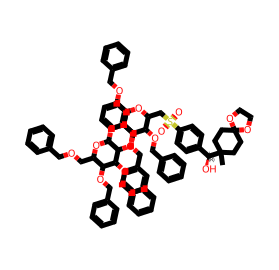 CC1([C@@H](O)c2ccc(S(=O)(=O)CC3OC(COCc4ccccc4)C(OC4OC(COCc5ccccc5)C(OCc5ccccc5)C(OCc5ccccc5)C4OCc4ccccc4)C(OCc4ccccc4)C3OCc3ccccc3)cc2)CCC2(CC1)OCCO2